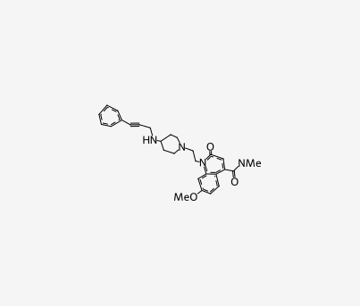 CNC(=O)c1cc(=O)n(CCN2CCC(NCC#Cc3ccccc3)CC2)c2cc(OC)ccc12